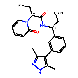 Cc1n[nH]c(C)c1-c1cccc([C@H](CC(=O)O)NC(=O)[C@H](CC(C)C)n2ccccc2=O)c1